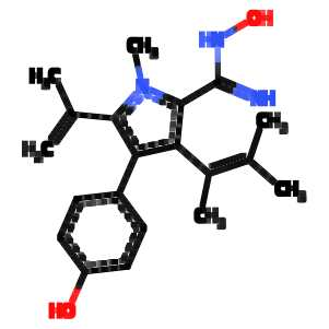 C=C(C)c1c(-c2ccc(O)cc2)c(C(C)=C(C)C)c(C(=N)NO)n1C